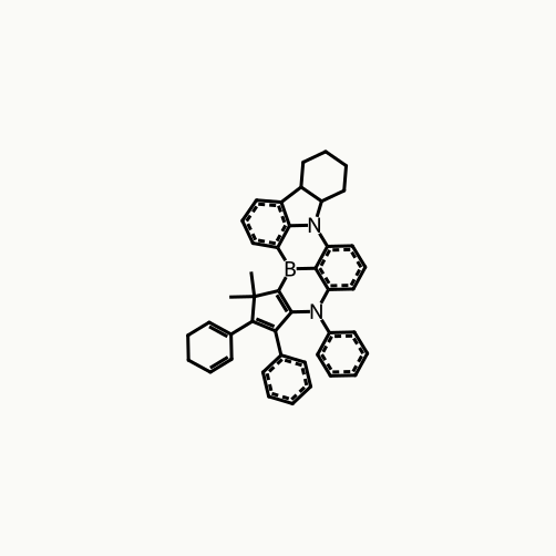 CC1(C)C2=C(C(c3ccccc3)=C1C1=CCCC=C1)N(c1ccccc1)c1cccc3c1B2c1cccc2c1N3C1CCCCC21